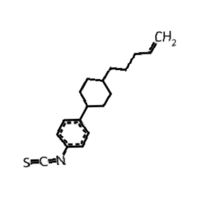 C=CCCCC1CCC(c2ccc(N=C=S)cc2)CC1